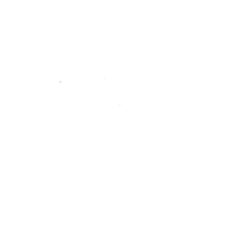 O=C(CF)NCC1CN(c2ccc(N3CCNCC3)c(F)c2)C(=O)O1